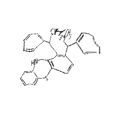 CC(c1ccccc1)c1ccc2c(c1C(C)c1ccccc1)Nc1ccccc1S2